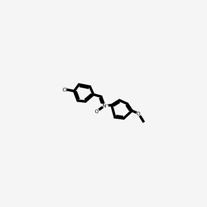 COc1ccc([N+]([O-])=Cc2ccc(Cl)cc2)cc1